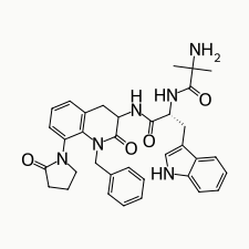 CC(C)(N)C(=O)N[C@H](Cc1c[nH]c2ccccc12)C(=O)NC1Cc2cccc(N3CCCC3=O)c2N(Cc2ccccc2)C1=O